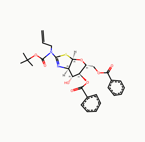 C=CCN(C(=O)OC(C)(C)C)C1=N[C@@H]2[C@@H](O)[C@H](OC(=O)c3ccccc3)[C@@H](COC(=O)c3ccccc3)O[C@@H]2S1